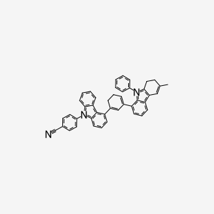 CC1=Cc2c(n(-c3ccccc3)c3c(C4=CCCC(c5cccc6c5c5ccccc5n6-c5ccc(C#N)cc5)=C4)cccc23)CC1